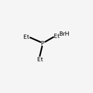 Br.CCP(CC)CC